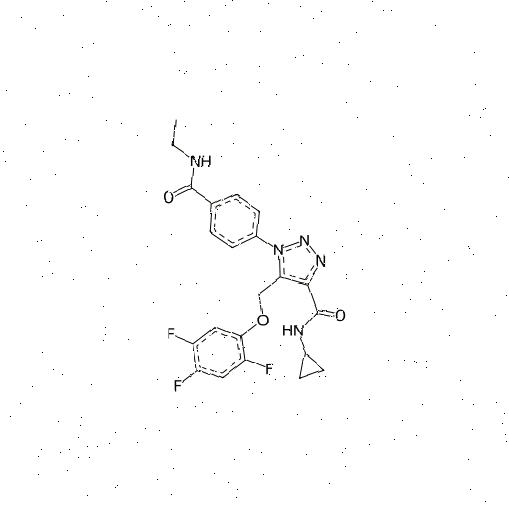 CCNC(=O)c1ccc(-n2nnc(C(=O)NC3CC3)c2COc2cc(F)c(F)cc2F)cc1